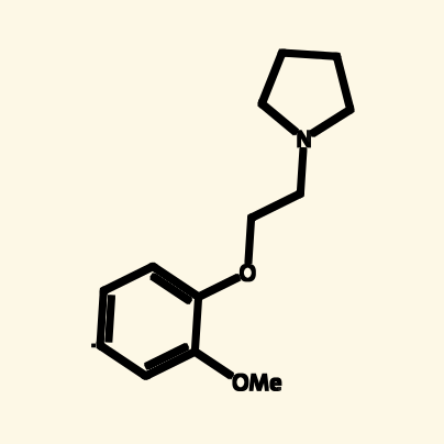 COc1c[c]ccc1OCCN1CCCC1